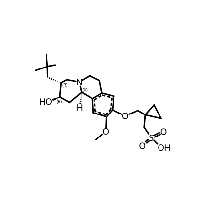 COc1cc2c(cc1OCC1(CS(=O)(=O)O)CC1)CCN1C[C@@H](CC(C)(C)C)[C@H](O)C[C@H]21